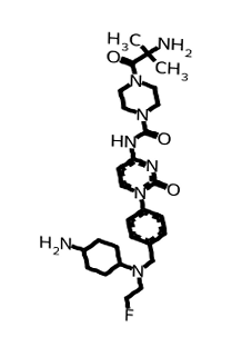 CC(C)(N)C(=O)N1CCN(C(=O)Nc2ccn(-c3ccc(CN(CCF)C4CCC(N)CC4)cc3)c(=O)n2)CC1